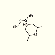 CC1CNCC(C)O1.CCCSSCCC